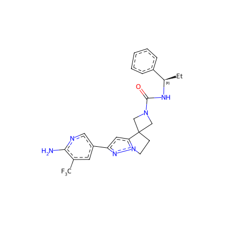 CC[C@@H](NC(=O)N1CC2(CCn3nc(-c4cnc(N)c(C(F)(F)F)c4)cc32)C1)c1ccccc1